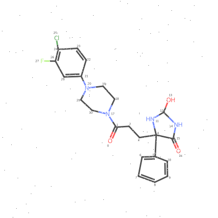 O=C(CCC1(c2ccccc2)NC(O)NC1=O)N1CCN(c2ccc(Cl)c(F)c2)CC1